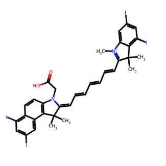 C[N+]1=C(/C=C/C=C/C=C/C=C2\N(CC(=O)O)c3ccc4c(I)cc(I)cc4c3C2(C)C)C(C)(C)c2c(I)cc(I)cc21